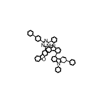 C1=CC(c2ccccc2)Cc2c1c1c(-c3cccc4c3c3ccccc3n4-c3ccccc3C3N=C(c4ccc(-c5ccccc5)cc4)N=C(c4ccc5oc6ccccc6c5c4)N3)cccc1n2-c1ccccc1